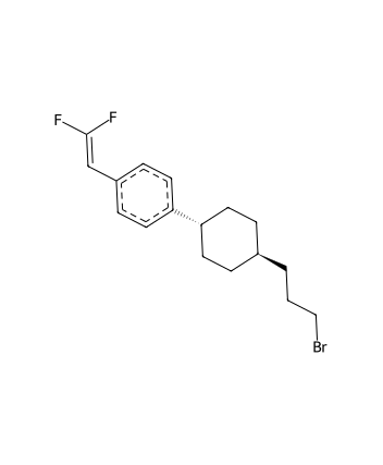 FC(F)=Cc1ccc([C@H]2CC[C@H](CCCBr)CC2)cc1